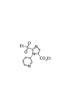 CCOC(=O)c1cnc(S(=O)(=O)CC)n1-c1cccnc1